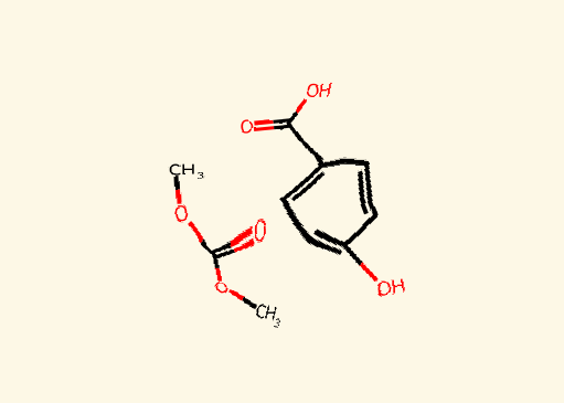 COC(=O)OC.O=C(O)c1ccc(O)cc1